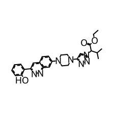 CCOC(=O)C(C(C)C)n1cc(N2CCN(c3ccc4cc(-c5ccccc5O)nnc4c3)CC2)nn1